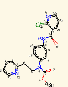 CC(C)(C)OC(=O)N(CCc1ccccn1)c1ccc(NC(=O)c2cccnc2Cl)cc1